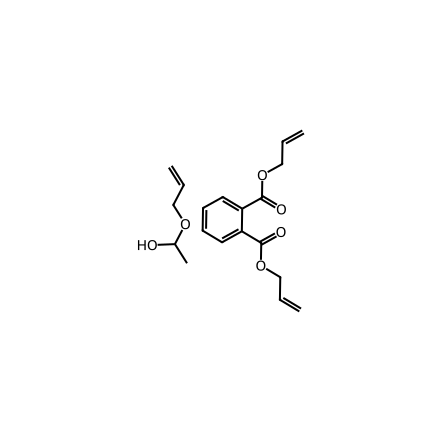 C=CCOC(=O)c1ccccc1C(=O)OCC=C.C=CCOC(C)O